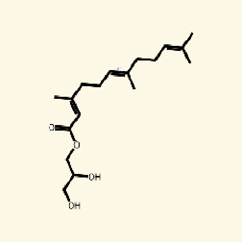 CC(C)=CCC/C(C)=C/CCC(C)=CC(=O)OCC(O)CO